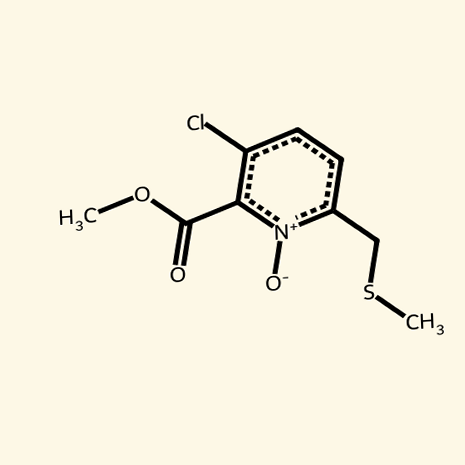 COC(=O)c1c(Cl)ccc(CSC)[n+]1[O-]